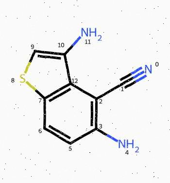 N#Cc1c(N)ccc2scc(N)c12